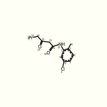 Cc1ccc(Cl)cc1NC(=O)CC(=O)CC(C)C